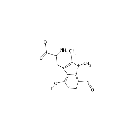 Cc1c(CC(N)C(=O)O)c2c(OI)ccc(N=O)c2n1C